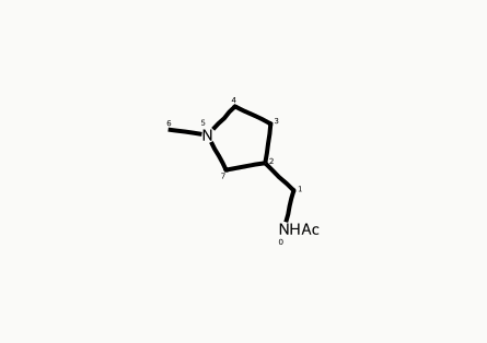 [CH2]C(=O)NCC1CCN(C)C1